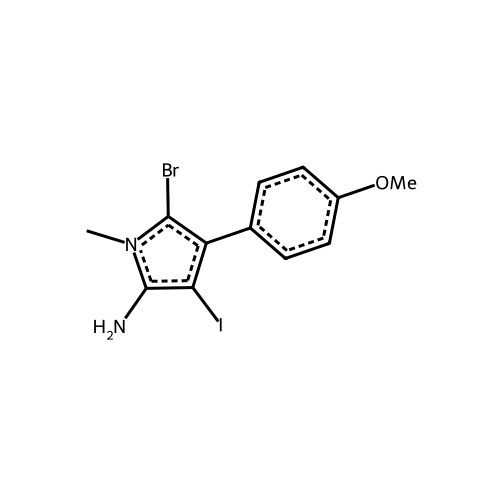 COc1ccc(-c2c(I)c(N)n(C)c2Br)cc1